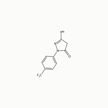 CCCC1=NN(c2ccc(C(F)(F)F)cc2)C(=O)C1